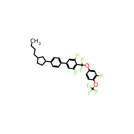 CCCCC1CCC(c2ccc(-c3cc(F)c(C(F)(F)Oc4ccc(OC(F)(F)F)c(F)c4)c(F)c3)cc2)C1